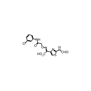 O=CNc1nc(/C(=N/OCC(=O)Nc2cccc(Cl)c2)C(=O)O)cs1